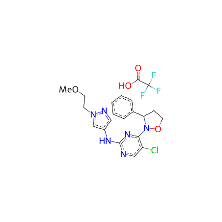 COCCn1cc(Nc2ncc(Cl)c(N3OCCC3c3ccccc3)n2)cn1.O=C(O)C(F)(F)F